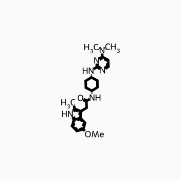 COc1ccc2[nH]c(C)c(CC(=O)N[C@H]3CC[C@@H](Nc4nccc(N(C)C)n4)CC3)c2c1